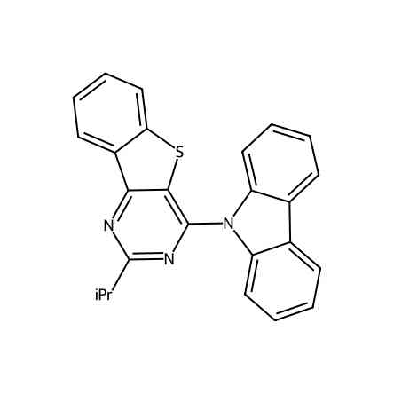 CC(C)c1nc(-n2c3ccccc3c3ccccc32)c2sc3ccccc3c2n1